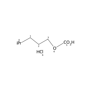 CC(C)CCCOC(=O)O.Cl